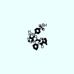 CNS(=O)(=O)c1ccc(NC(=O)c2c(N)ncnc2N[C@@H](C)c2nn3ccc(C)c3c(=O)n2-c2ccccc2)cc1